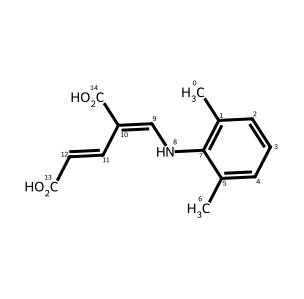 Cc1cccc(C)c1NC=C(C=CC(=O)O)C(=O)O